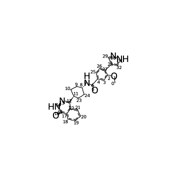 COc1cc(C(=O)N[C@H]2CC[C@H](c3n[nH]c(=O)c4ccccc43)CC2)ccc1-c1cn[nH]c1